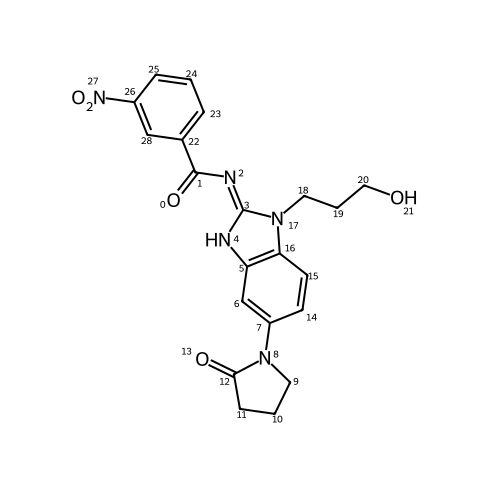 O=C(/N=c1\[nH]c2cc(N3CCCC3=O)ccc2n1CCCO)c1cccc([N+](=O)[O-])c1